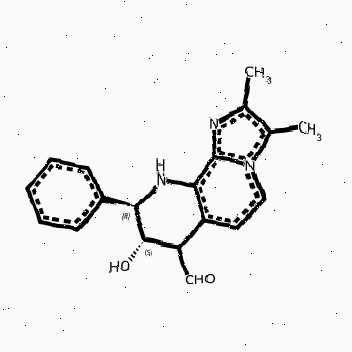 Cc1nc2c3c(ccn2c1C)C(C=O)[C@H](O)[C@@H](c1ccccc1)N3